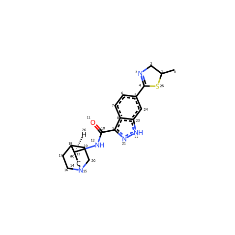 CC1CN=C(c2ccc3c(C(=O)N[C@H]4CN5CCC4CC5)n[nH]c3c2)S1